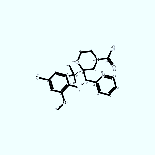 COc1cc(Cl)ccc1O[C@@H](c1ccccn1)[C@]1(C(C)(C)C)CN(C(=O)O)CCO1